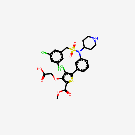 COC(=O)c1sc(-c2cccc(N(C3CCNCC3)S(=O)(=O)Cc3cc(Cl)cc(Cl)c3)c2)c(Cl)c1OCC(=O)O